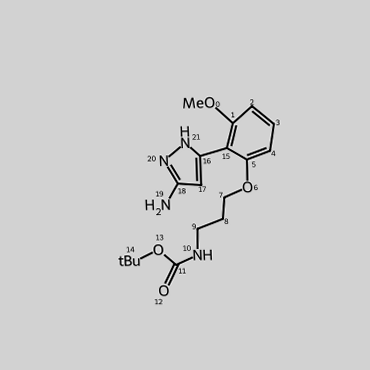 COc1cccc(OCCCNC(=O)OC(C)(C)C)c1-c1cc(N)n[nH]1